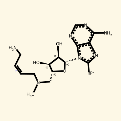 CCCc1nc2c(N)ncnc2n1[C@@H]1O[C@H](CN(C)C/C=C\CN)[C@@H](O)[C@H]1O